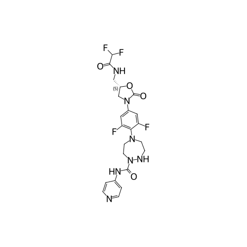 O=C(NC[C@H]1CN(c2cc(F)c(N3CCNN(C(=O)Nc4ccncc4)CC3)c(F)c2)C(=O)O1)C(F)F